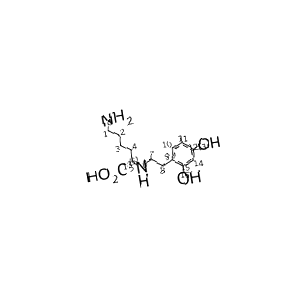 NCCCC[C@H](NCCc1ccc(O)cc1O)C(=O)O